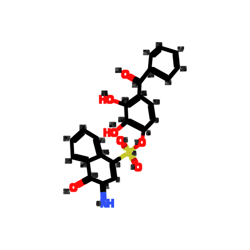 N=C1C=C(S(=O)(=O)Oc2ccc(C(=O)c3ccccc3)c(O)c2O)c2ccccc2C1=O